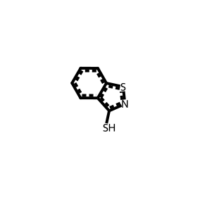 Sc1nsc2ccccc12